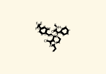 CCc1nc(Cl)c2n1CCN([C@@H](C(=O)NC)c1ccccc1)[C@@H]2CCc1ccc(C(F)(F)F)cc1F